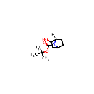 CC(C)(C)OC(=O)N1C2CC[C@H]1C(O)C2